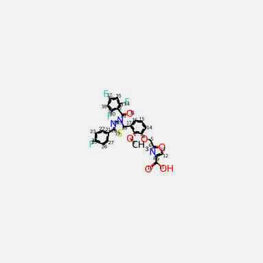 COc1c(OCc2nc(C(=O)O)co2)cccc1C1SC(c2ccc(F)cc2)=NN1C(=O)c1c(F)cc(F)cc1F